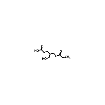 CCC(=O)OCC(CO)CCC(=O)O